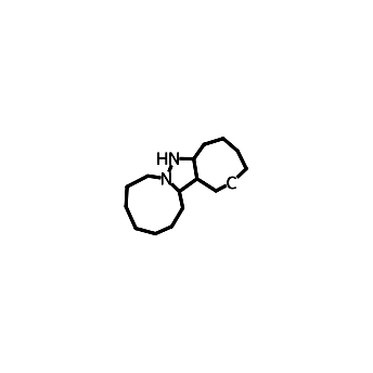 C1CCCC2C3CCCCCCC3NN2CCC1